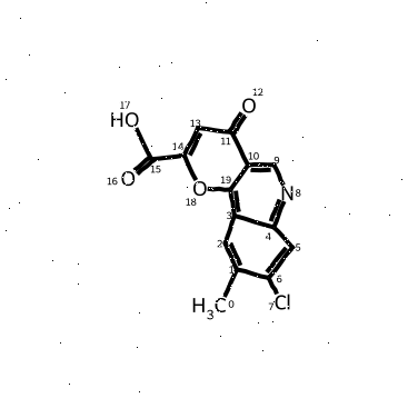 Cc1cc2c(cc1Cl)ncc1c(=O)cc(C(=O)O)oc12